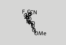 COCCOCCOCC(=O)N1CCN(CC2=C(C)C(=O)N(c3ccc(C#N)c(C(F)(F)F)c3)C2=O)CC1